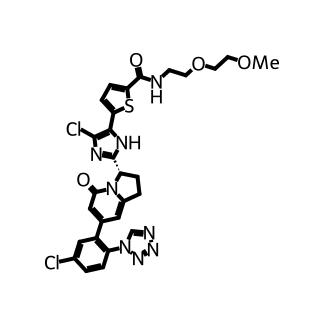 COCCOCCNC(=O)c1ccc(-c2[nH]c([C@@H]3CCc4cc(-c5cc(Cl)ccc5-n5cnnn5)cc(=O)n43)nc2Cl)s1